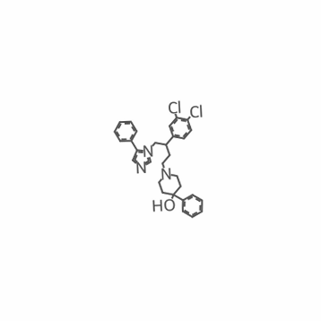 OC1(c2ccccc2)CCN(CCC(Cn2cncc2-c2ccccc2)c2ccc(Cl)c(Cl)c2)CC1